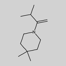 C=C(C(C)C)N1CCC(C)(C)CC1